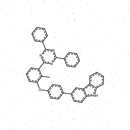 Cc1c(Oc2ccc(-c3ccc4[nH]c5ccccc5c4c3)cc2)cccc1-c1nc(-c2ccccc2)nc(-c2ccccc2)n1